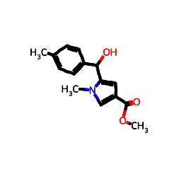 COC(=O)c1cc(C(O)c2ccc(C)cc2)n(C)c1